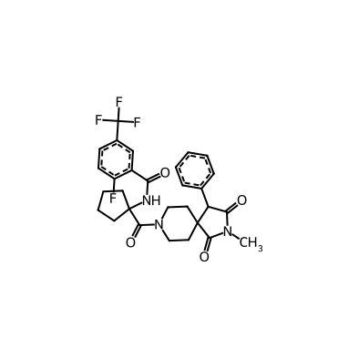 CN1C(=O)C(c2ccccc2)C2(CCN(C(=O)C3(NC(=O)c4cc(C(F)(F)F)ccc4F)CCCC3)CC2)C1=O